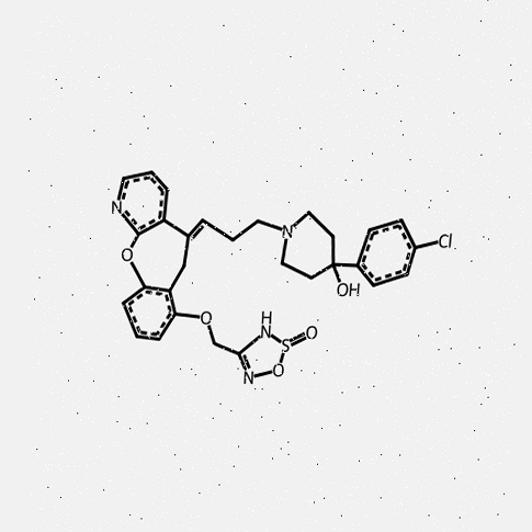 O=S1NC(COc2cccc3c2CC(=CCCN2CCC(O)(c4ccc(Cl)cc4)CC2)c2cccnc2O3)=NO1